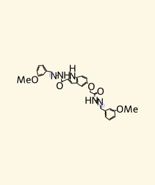 COc1cccc(/C=N/NC(=O)COc2ccc3[nH]c(C(=O)N/N=C/c4cccc(OC)c4)cc3c2)c1